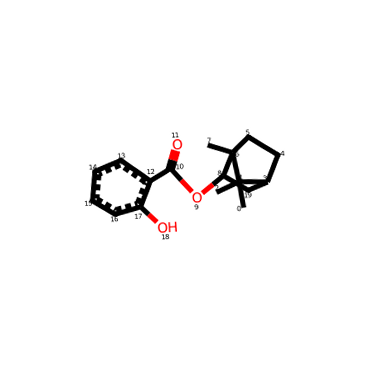 CC1(C)C2CCC1(C)C(OC(=O)c1ccccc1O)C2